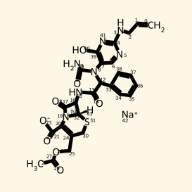 C=CCNc1ncc(N(C(N)=O)C(C(=O)NC2C(=O)N3C(C(=O)[O-])=C(COC(C)=O)CS[C@@H]23)c2ccccc2)c(O)n1.[Na+]